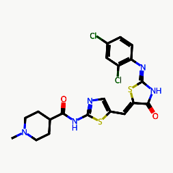 CN1CCC(C(=O)Nc2ncc(/C=C3\S/C(=N\c4ccc(Cl)cc4Cl)NC3=O)s2)CC1